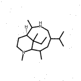 CCC1(C)C2C(C)CC(C(C)C)CNC(C)[C@@H]1CCN2C